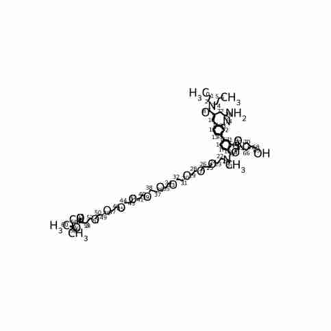 CCCN(CCC)C(=O)C1=Cc2ccc(-c3ccc(CN(C)CCOCCOCCOCCOCCOCCOCCOCCOCCOCCOCCC(=O)OC(C)(C)C)c(S(=O)(=O)N4CC(CO)C4)c3)cc2N=C(N)C1